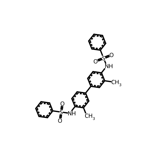 Cc1cc(-c2ccc(NS(=O)(=O)c3ccccc3)c(C)c2)ccc1NS(=O)(=O)c1ccccc1